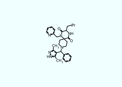 Cc1n[nH]c(C)c1C(c1ccccc1)N1CCC2(CC1)C(=O)NC(CC(C)C)C(=O)N2Cc1ccccn1